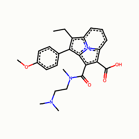 CCc1c(-c2ccc(OC)cc2)c2c(C(=O)N(C)CCN(C)C)c(C(=O)O)c3cccc1n32